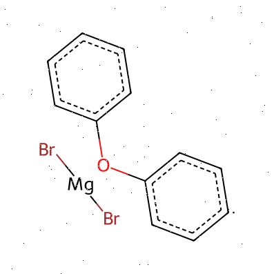 [Br][Mg][Br].[c]1ccc(Oc2ccccc2)cc1